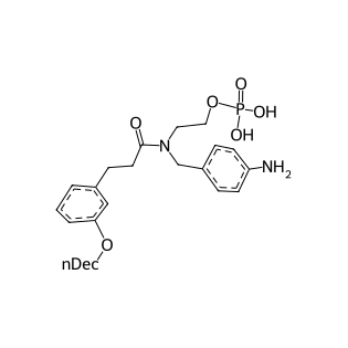 CCCCCCCCCCOc1cccc(CCC(=O)N(CCOP(=O)(O)O)Cc2ccc(N)cc2)c1